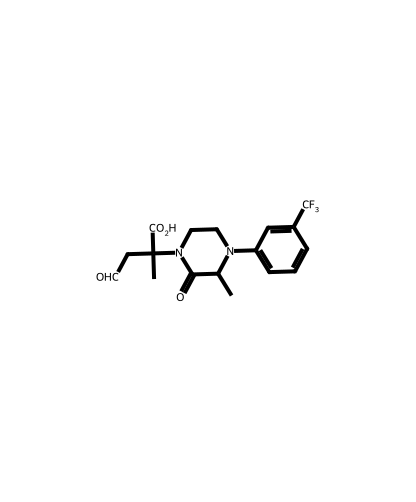 CC1C(=O)N(C(C)(CC=O)C(=O)O)CCN1c1cccc(C(F)(F)F)c1